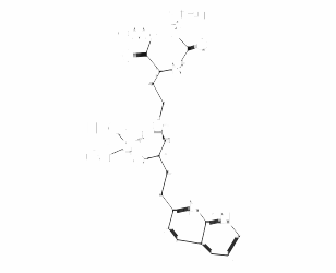 COC(=O)C(CCOCC(CCc1ccc2cccnc2n1)O[Si](C)(C)C(C)(C)C)NC(=O)OC(C)(C)C